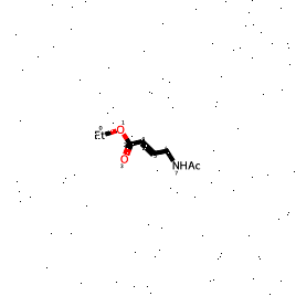 CCOC(=O)/C=C/CNC(C)=O